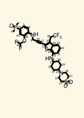 CP(C)(=O)c1ccc(NCC#Cc2sc3c(NC4CCC(N5CCS(=O)(=O)CC5)CC4)cccc3c2CC(F)(F)F)c(OC(F)F)c1